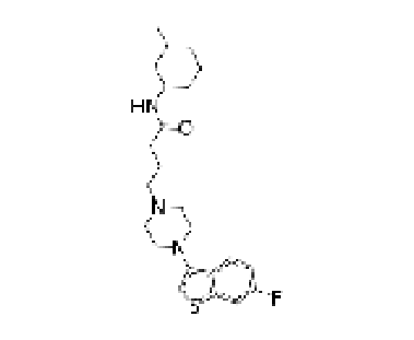 CC1CCCC(NC(=O)CCCN2CCN(c3csc4cc(F)ccc34)CC2)C1